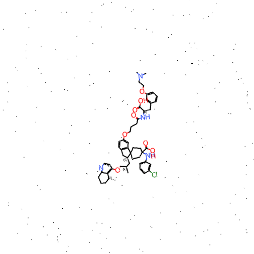 C[C@@H](COc1ccnc2c1[C@H](C)CCC2)C[C@H]1Cc2ccc(OCCCC(=O)N[C@H](Cc3cccc(OCCN(C)C)c3)C(=O)O)cc2C12CCC(Nc1cccc(Cl)c1)(C(=O)O)CC2